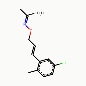 C/C(=N/OC/C=C/c1cc(Cl)ccc1C)C(=O)O